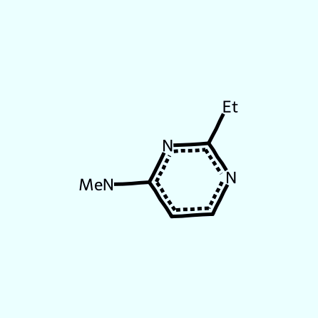 CCc1nccc(NC)n1